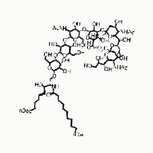 CCCCCCCCCCCCC/C=C/[C@@H](O)[C@H](CO[C@@H]1OC(CO)[C@@H](O[C@@H]2OC(CO)[C@H](O)[C@H](O[C@@H]3OC(CO)[C@@H](O[C@@H]4OC(CO)[C@H](O)[C@H](O[C@]5(C(=O)O)CC(O)[C@@H](NC(C)=O)C([C@H](O)[C@@H](CO)O[C@]6(C(=O)O)CC(O)[C@@H](NC(C)=O)C([C@H](O)[C@H](O)CO)O6)O5)C4O)[C@H](O)C3NC(C)=O)C2O)[C@H](O)C1O)NC(=O)CCCCCCCCCCCCCCCCCCC